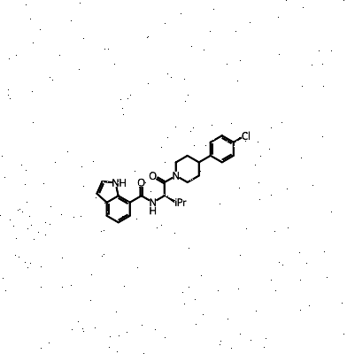 CC(C)[C@@H](NC(=O)c1cccc2cc[nH]c12)C(=O)N1CCC(c2ccc(Cl)cc2)CC1